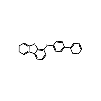 C1=CCCC(c2ccc(Nc3cccc4c3sc3ccccc34)cc2)=C1